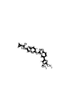 Cc1nc(-c2ccc3nnc(Sc4ccc5nc(NC(=O)C6CC6)cn5n4)n3c2)cn1C